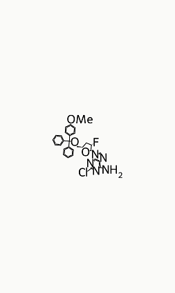 COc1ccc(C(OC[C@H]2C[C@H](F)[C@H](n3cnc4c(N)nc(Cl)nc43)O2)(c2ccccc2)c2ccccc2)cc1